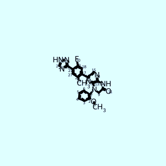 COc1ccccc1N1CC(=O)Nc2ncc(-c3cc(F)c(-c4nc[nH]n4)cc3C)nc21